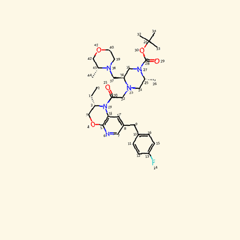 CC[C@H]1COc2ncc(Cc3ccc(F)cc3)cc2N1C(=O)CN1C[C@@H](C)N(C(=O)OC(C)(C)C)C[C@@H]1CN1CCOC[C@H]1C